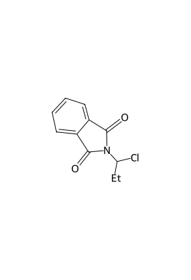 CCC(Cl)N1C(=O)c2ccccc2C1=O